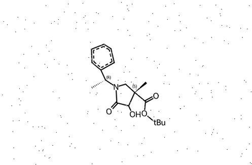 C[C@H](c1ccccc1)N1C[C@](C)(C(=O)OC(C)(C)C)C(O)C1=O